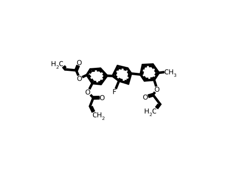 C=CC(=O)Oc1cc(-c2ccc(-c3ccc(OC(=O)C=C)c(OC(=O)C=C)c3)c(F)c2)ccc1C